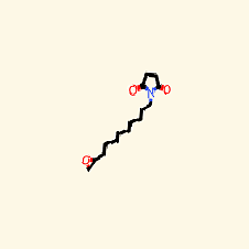 O=C1CCC(=O)N1CCCCCCCCCC1CO1